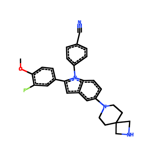 COc1ccc(-c2cc3cc(N4CCC5(CC4)CNC5)ccc3n2-c2ccc(C#N)cc2)cc1F